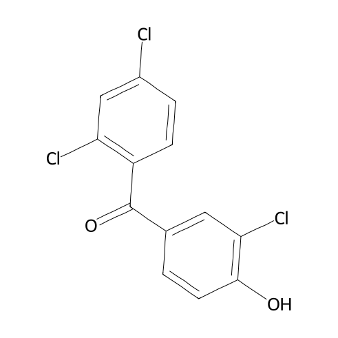 O=C(c1ccc(O)c(Cl)c1)c1ccc(Cl)cc1Cl